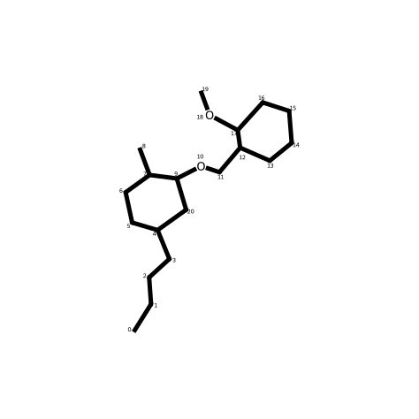 CCCCC1CCC(C)C(OCC2CCCCC2OC)C1